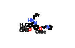 COc1cc2c3c(c(NCCC(C)C)nc2cc1OCCCN1CCCC1)CC(C)(C)C3OC=O